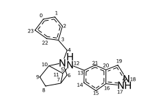 c1ccc(CN2CC3CCC2C3Nc2ccc3[nH]ncc3c2)cc1